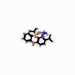 CC(C)c1ccc2c([n+]1N)P(=O)(C(C)C)c1ccccc1O2